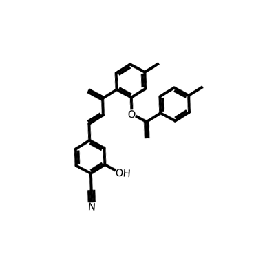 C=C(Oc1cc(C)ccc1C(=C)/C=C/c1ccc(C#N)c(O)c1)c1ccc(C)cc1